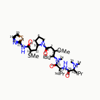 CCC(C)C(C(CC(=O)N1CCCC1CC(SC)C(=O)Nc1nccs1)OC)N(C)C(=O)C(NC(=O)C(C(C)C)N(C)C)C(C)C